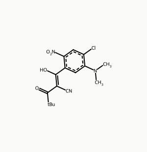 CN(C)c1cc(/C(O)=C(\C#N)C(=O)C(C)(C)C)c([N+](=O)[O-])cc1Cl